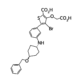 O=C(O)COc1c(C(=O)O)sc(-c2cccc(N[C@H]3CC[C@H](OCc4ccccc4)CC3)c2)c1Br